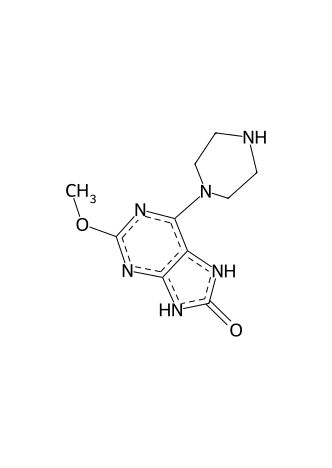 COc1nc(N2CCNCC2)c2[nH]c(=O)[nH]c2n1